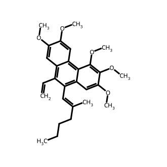 C=Cc1c(/C=C(\C)CCCC)c2cc(OC)c(OC)c(OC)c2c2cc(OC)c(OC)cc12